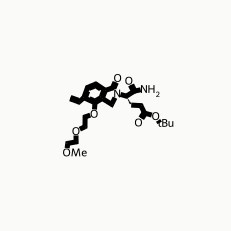 C=Cc1ccc2c(c1OCCOCCOC)CN([C@@H](CCC(=O)OC(C)(C)C)C(N)=O)C2=O